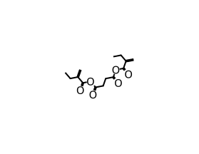 C=C(CC)C(=O)OC(=O)CCC(=O)OC(=O)C(=C)CC